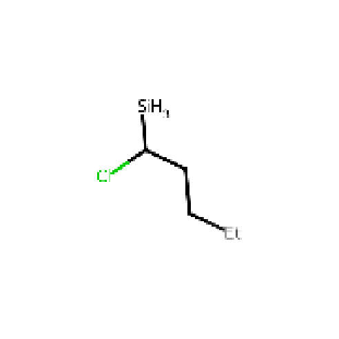 CCCCC([SiH3])Cl